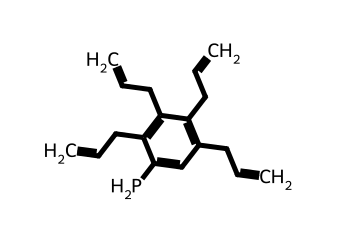 C=CCc1cc(P)c(CC=C)c(CC=C)c1CC=C